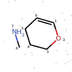 C1=COCCC1.CN